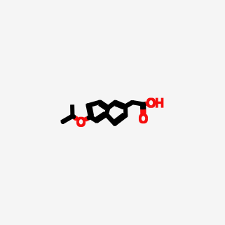 CC(C)Oc1ccc2cc(CC(=O)O)ccc2c1